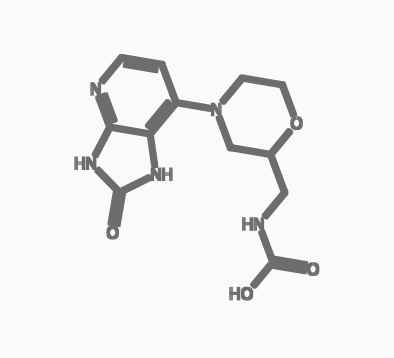 O=C(O)NCC1CN(c2ccnc3[nH]c(=O)[nH]c23)CCO1